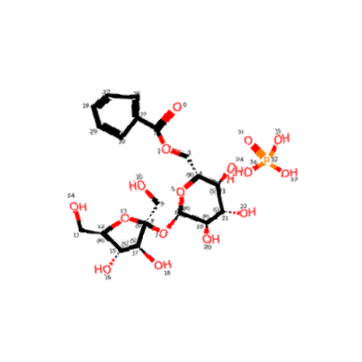 O=C(OC[C@H]1O[C@H](O[C@]2(CO)O[C@H](CO)[C@@H](O)[C@@H]2O)[C@H](O)[C@@H](O)[C@@H]1O)c1ccccc1.O=P(O)(O)O